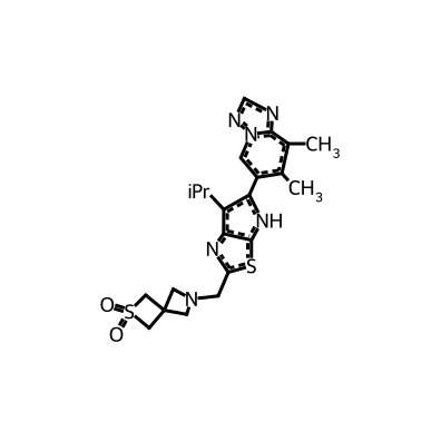 Cc1c(-c2[nH]c3sc(CN4CC5(C4)CS(=O)(=O)C5)nc3c2C(C)C)cn2ncnc2c1C